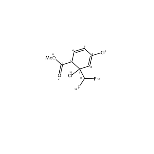 COC(=O)C1C=CC(Cl)=CC1(Cl)C(F)F